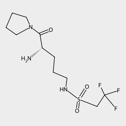 N[C@@H](CCCNS(=O)(=O)CC(F)(F)F)C(=O)N1CCCC1